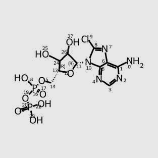 Nc1ncnc2c1nc(Cl)n2[C@@H]1O[C@H](COP(=O)(O)OP(=O)(O)O)C(O)C1O